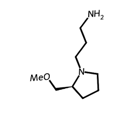 COC[C@@H]1CCCN1CCCN